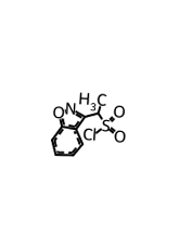 CC(c1noc2ccccc12)S(=O)(=O)Cl